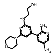 Cc1ncc(N)cc1-c1cc(NCCO)nc(N2CCOCC2)c1